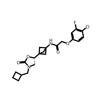 O=C(COc1ccc(Cl)c(F)c1)NC12CC([C@@H]3CN(CC4CCC4)C(=O)O3)(C1)C2